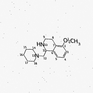 COc1cccc2c1CCNC2CN1CCCCC1